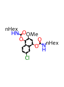 CCCCCCNC(=O)Oc1cc(OC)c(OC(=O)NCCCCCC)c2ccc(Cl)cc12